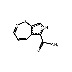 NC(=O)c1[nH]cc2c1C=CC=NS2